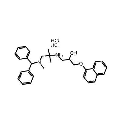 CN(CC(C)(C)NCC(O)COc1cccc2ccccc12)C(c1ccccc1)c1ccccc1.Cl.Cl